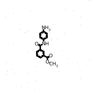 COC(=O)c1cccc(C(=O)Nc2ccc(N)cc2)c1